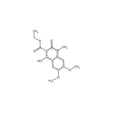 CCOC(=O)c1c(O)c2cc(OC)c(OC)cc2n(C)c1=O